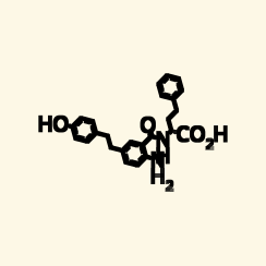 Nc1ccc(CCc2ccc(O)cc2)cc1C(=O)N[C@@H](CCc1ccccc1)C(=O)O